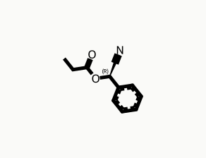 CCC(=O)O[C@@H](C#N)c1ccccc1